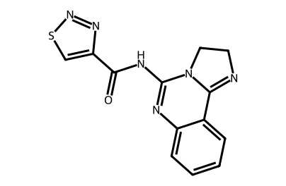 O=C(NC1=Nc2ccccc2C2=NCCN12)c1csnn1